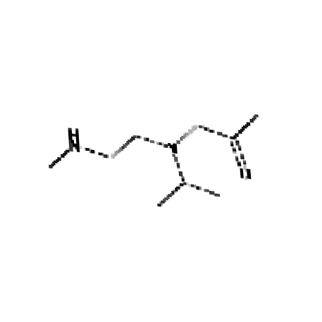 CNCCN(CC(C)=O)C(C)C